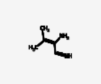 CC(C)=C(N)C=N